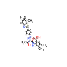 C/C(O)=C(\N=N\c1ccc(-c2nc3ccc(C)c(C)c3s2)cc1)C(=O)Nc1cc(C)c(C)cc1CO